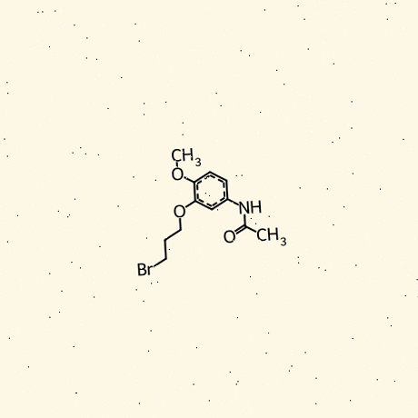 COc1ccc(NC(C)=O)cc1OCCCBr